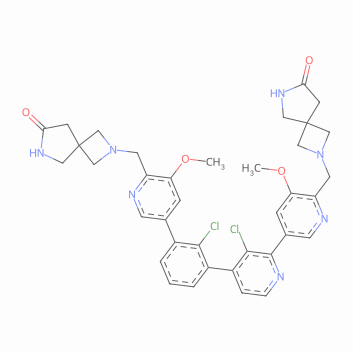 COc1cc(-c2cccc(-c3ccnc(-c4cnc(CN5CC6(CNC(=O)C6)C5)c(OC)c4)c3Cl)c2Cl)cnc1CN1CC2(CNC(=O)C2)C1